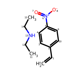 C=Cc1ccc([N+](=O)[O-])cc1.CCNCC